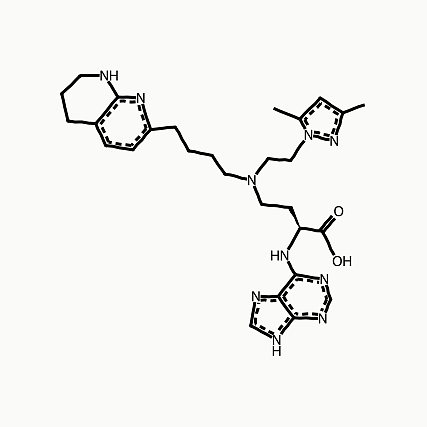 Cc1cc(C)n(CCN(CCCCc2ccc3c(n2)NCCC3)CC[C@H](Nc2ncnc3[nH]cnc23)C(=O)O)n1